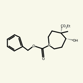 CCOC(=O)[C@@]1(C)CCN(C(=O)OCc2ccccc2)CC[C@H]1O